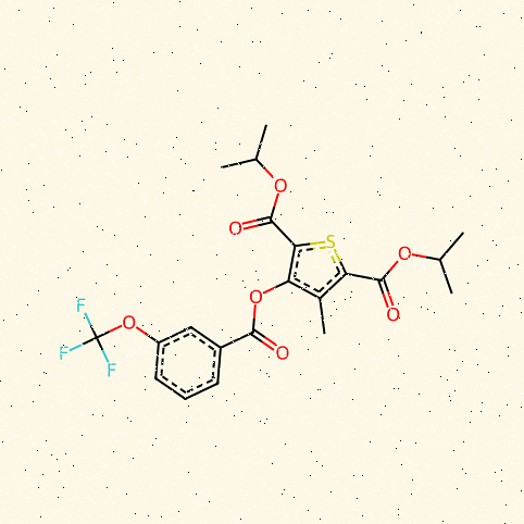 Cc1c(C(=O)OC(C)C)sc(C(=O)OC(C)C)c1OC(=O)c1cccc(OC(F)(F)F)c1